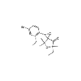 CCc1cc(Br)ccc1C1OC12C(=O)C(C)(CC)OC2(C)C